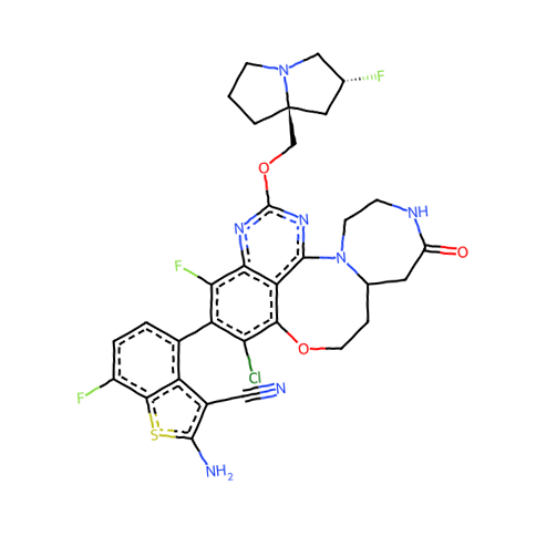 N#Cc1c(N)sc2c(F)ccc(-c3c(Cl)c4c5c(nc(OC[C@@]67CCCN6C[C@H](F)C7)nc5c3F)N3CCNC(=O)CC3CCO4)c12